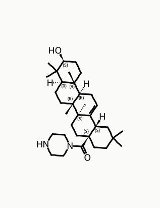 CC1(C)CC[C@]2(C(=O)N3CCNCC3)CC[C@]3(C)C(=CC[C@@H]4[C@@]5(C)CC[C@H](O)C(C)(C)[C@@H]5CC[C@]43C)[C@@H]2C1